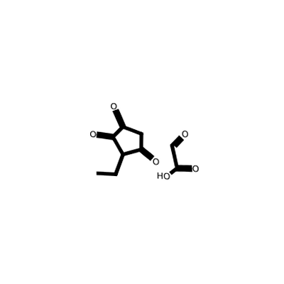 CCC1C(=O)CC(=O)C1=O.O=CC(=O)O